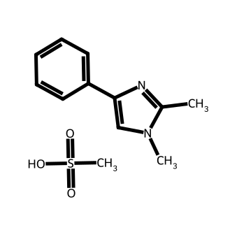 CS(=O)(=O)O.Cc1nc(-c2ccccc2)cn1C